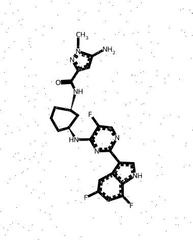 Cn1nc(C(=O)N[C@@H]2CCC[C@H](Nc3nc(-c4c[nH]c5c(F)cc(F)cc45)ncc3F)C2)cc1N